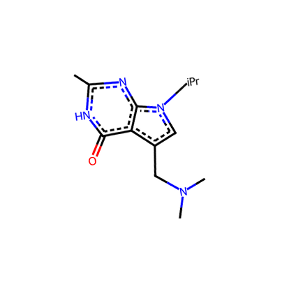 Cc1nc2c(c(CN(C)C)cn2C(C)C)c(=O)[nH]1